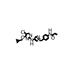 C=CC(=O)Nc1ccc(Cn2cc(Nc3ncc(Cl)c(OCC4CC4)n3)cn2)cc1